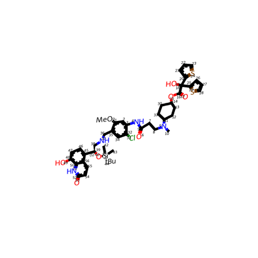 COc1cc(NC(=O)CCN(C)C2CCC(OC(=O)C(O)(c3cccs3)c3cccs3)CC2)c(Cl)cc1CNC[C@@H](O[Si](C)(C)C(C)(C)C)c1ccc(O)c2[nH]c(=O)ccc12